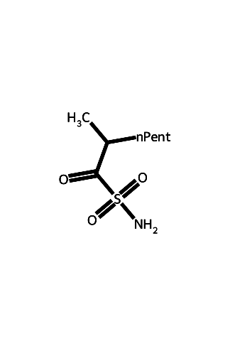 CCCCCC(C)C(=O)S(N)(=O)=O